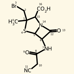 CC1(CBr)SC2C(NC(=O)CC#N)C(=O)N2C1C(=O)O